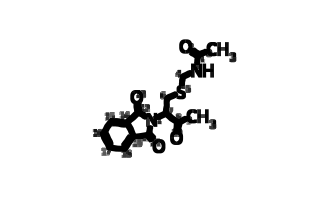 CC(=O)NCSCC(C(C)=O)N1C(=O)c2ccccc2C1=O